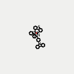 c1ccc(-c2nc(-c3ccc(-n4c5ccccc5c5ccccc54)cc3)nc(-c3cccc4sc5cccc(-c6nc7ccccc7s6)c5c34)n2)cc1